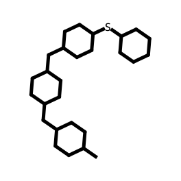 CC1CCC(CC2CCC(CC3CCC(SC4CCCCC4)CC3)CC2)CC1